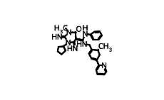 CC1CC(c2ccccn2)=CC=C1CN/C(Nc1ccccc1)=C1\C(=N)N(C2CCCC2)C(=N)N(C)C1=O